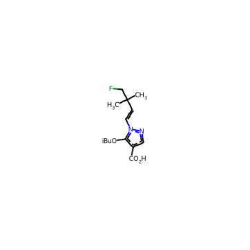 CC(C)COc1c(C(=O)O)cnn1/C=C/C(C)(C)CF